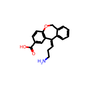 NCC/C=C1/c2ccccc2COc2ccc(C(=O)O)cc21